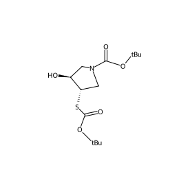 CC(C)(C)OC(=O)S[C@H]1CN(C(=O)OC(C)(C)C)C[C@@H]1O